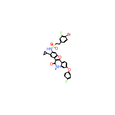 CNC(=O)c1c(-c2ccc(Oc3ccc(F)cc3)cc2)oc2cc(NS(=O)(=O)CCc3ccc(Br)c(F)c3)c(C3CC3)cc12